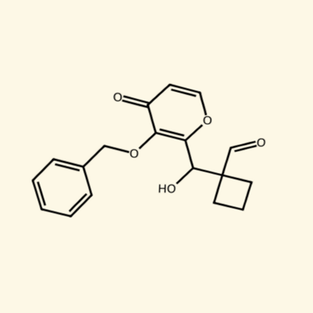 O=CC1(C(O)c2occc(=O)c2OCc2ccccc2)CCC1